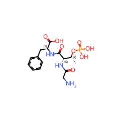 C[C@@H](OP(=O)(O)O)[C@H](NC(=O)CN)C(=O)N[C@@H](Cc1ccccc1)C(=O)O